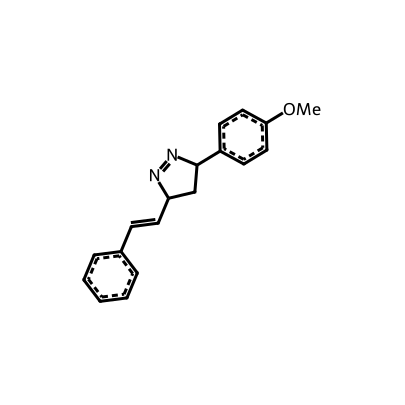 COc1ccc(C2CC(C=Cc3ccccc3)N=N2)cc1